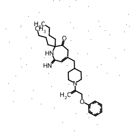 C=C(COc1ccccc1)N1CCC(CC2=CC(=N)NC(CCCC)(CCCC)C(=O)C2)CC1